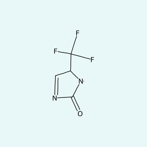 O=C1[N]C(C(F)(F)F)C=N1